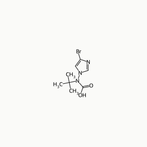 CC(C)(C)N(C(=O)O)n1cnc(Br)c1